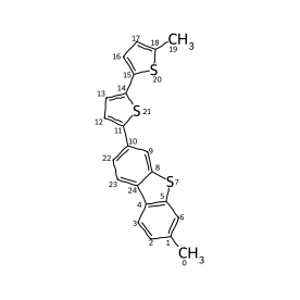 Cc1ccc2c(c1)sc1cc(-c3ccc(-c4ccc(C)s4)s3)ccc12